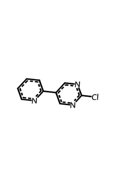 Clc1ncc(-c2ccccn2)cn1